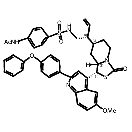 C=C[C@@H](CNS(=O)(=O)c1ccc(NC(C)=O)cc1)[C@H]1CCN2C(=O)S[C@H](c3cc(-c4ccc(Oc5ccccc5)cc4)nc4ccc(OC)cc34)[C@@H]2C1